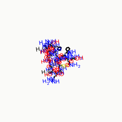 CC(C)[C@@H](NC(=O)CNC(=O)CNC(=O)CNC(=O)[C@H](CS)NC(=O)[C@@H](NC(=O)[C@H](CCCNC(=N)N)NC(=O)[C@H](CO)NC(=O)[C@H](CS)NC(=O)C1CCCN1C(=O)[C@H](CO)NC(=O)[C@H](Cc1c[nH]c2ccccc12)NC(=O)[C@H](CCC(N)=O)NC(=O)[C@@H](N)CO)[C@H](C)O)C(=O)N[C@H](CO)C(=O)N[C@H](Cc1ccccc1)C(=O)N[C@H](CCCNC(=N)N)C(=O)N[C@H](CCC(=O)O)C(=O)N[C@H](CCCNC(=N)N)C(=O)O